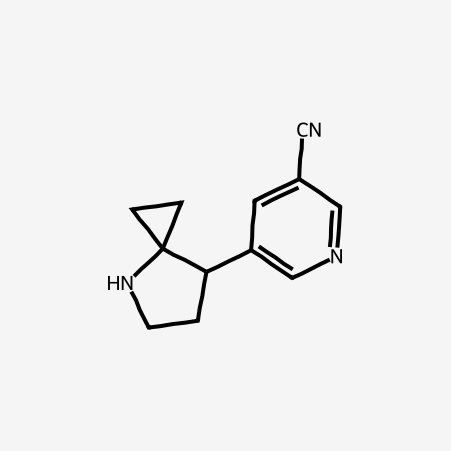 N#Cc1cncc(C2CCNC23CC3)c1